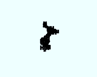 Cc1ncsc1-c1ccc(CNC(=O)[C@@H]2CCCN2C(=O)C(NC(=O)COCCOCCOCCNC(=O)CCc2cccc(-c3ccc4nc(-c5cccnc5N)n(-c5ccc(C6(N)CCC6)cc5)c4n3)c2)C(C)(C)C)cc1